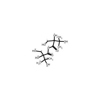 CC(C)(O)C(O)(CO)C(=O)OC(=O)C(O)(CO)C(C)(C)O